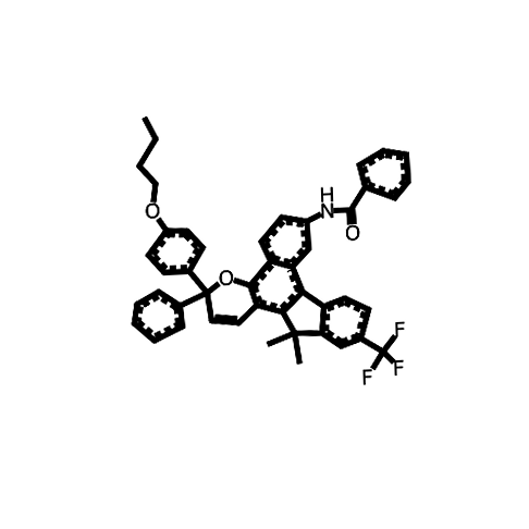 CCCCOc1ccc(C2(c3ccccc3)C=Cc3c4c(c5cc(NC(=O)c6ccccc6)ccc5c3O2)-c2ccc(C(F)(F)F)cc2C4(C)C)cc1